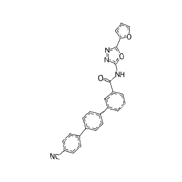 N#Cc1ccc(-c2ccc(-c3cccc(C(=O)Nc4nnc(-c5ccco5)o4)c3)cc2)cc1